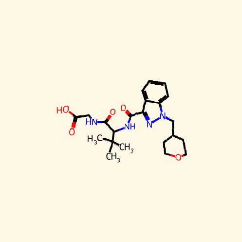 CC(C)(C)C(NC(=O)c1nn(CC2CCOCC2)c2ccccc12)C(=O)NCC(=O)O